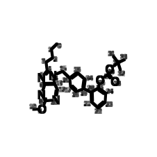 CCCCc1nc2nc(OC)ncc2n1Cc1ccc(-c2ccccc2OC(=O)OC(C)(C)C)cc1